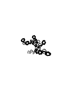 CCCN(Cc1ccc(Oc2ccccc2)cc1)C(=O)C[C@@H]1[C@@H](CC(=O)N(CCC)Cc2ccc(Oc3ccccc3)cc2)[C@@H](C(=O)OCc2ccccc2)[C@@H]1C(=O)OCc1ccccc1